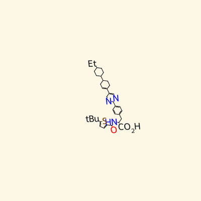 CCC1CCC(C2CC=C(c3cnc(-c4ccc(C[C@H](NC(=O)c5ccc(C(C)(C)C)s5)C(=O)O)cc4)nc3)CC2)CC1